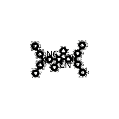 N#Cc1c(-c2ccccc2)c(-c2ccc(N(c3ccc(-c4ccccc4)cc3)c3ccc(-c4ccccc4)cc3)cc2)c(C#N)c(-c2ccccc2)c1-c1ccc(N(c2ccc(-c3ccccc3)cc2)c2ccc(-c3ccccc3)cc2)cc1